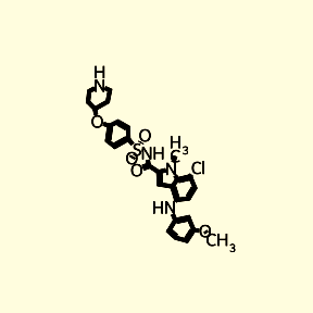 COc1cccc(Nc2ccc(Cl)c3c2cc(C(=O)NS(=O)(=O)c2ccc(OC4CCNCC4)cc2)n3C)c1